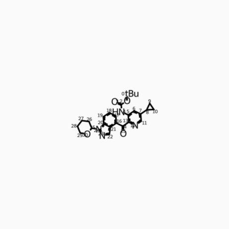 CC(C)(C)OC(=O)Nc1cc(C2CC2)cnc1C(=O)c1cccc2c1cnn2C1CCCCO1